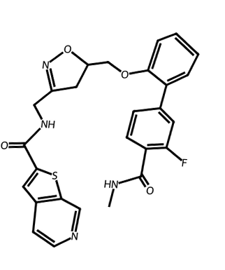 CNC(=O)c1ccc(-c2ccccc2OCC2CC(CNC(=O)c3cc4ccncc4s3)=NO2)cc1F